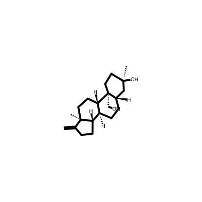 C=C1CC[C@H]2[C@@H]3CC[C@H]4C[C@](C)(O)CC[C@]4(CO)[C@H]3CC[C@]12C